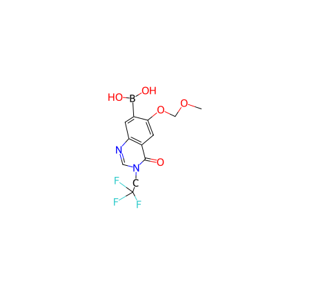 COCOc1cc2c(=O)n(CC(F)(F)F)cnc2cc1B(O)O